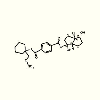 O=C(OC1(CO[N+](=O)[O-])CCCCC1)c1ccc(C(=O)O[C@@]2(O)CO[C@@H]3[C@H](O)CO[C@@H]32)cc1